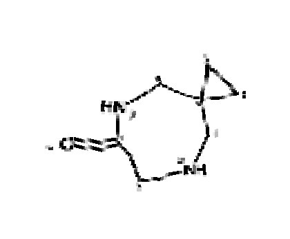 O=C1CNCC2(CC2)CN1